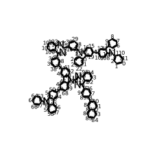 c1ccc(-n2c3ccccc3c3cc(-c4ccc5c(c4)c4ccccc4n5-c4cccc(-c5nc(-c6cccc(-c7ccc8c(c7)c7cc(-c9ccc%10c(c9)c9ccccc9n%10-c9ccccc9)ccc7n8-c7nc(-c8ccc(-c9ccc%10ccccc%10c9)cc8)c8ccccc8n7)c6)c6ccccc6n5)c4)ccc32)cc1